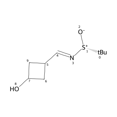 CC(C)(C)[S@@+]([O-])/N=C/C1CC(O)C1